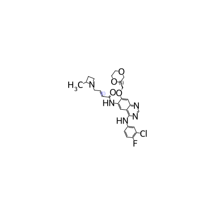 CC1CCN1C/C=C/C(=O)Nc1cc2c(Nc3ccc(F)c(Cl)c3)ncnc2cc1OC[C@@H]1COCCO1